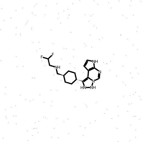 FC(F)CNC[C@H]1CC[C@H](C2=C3c4cc[nH]c4N=CN3NN2)CC1